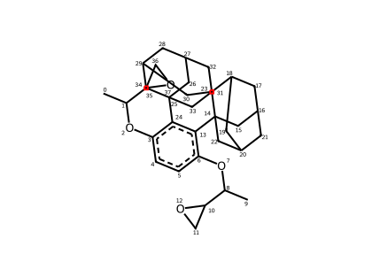 CC(Oc1ccc(OC(C)C2CO2)c(C23CC4CC(CC(C4)C2)C3)c1C12CC3CC(CC(C3)C1)C2)C1CO1